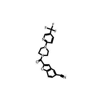 N#Cc1ccc2oc(C(=O)N3CCN(c4ccc(C(F)(F)F)cn4)CC3)cc2c1